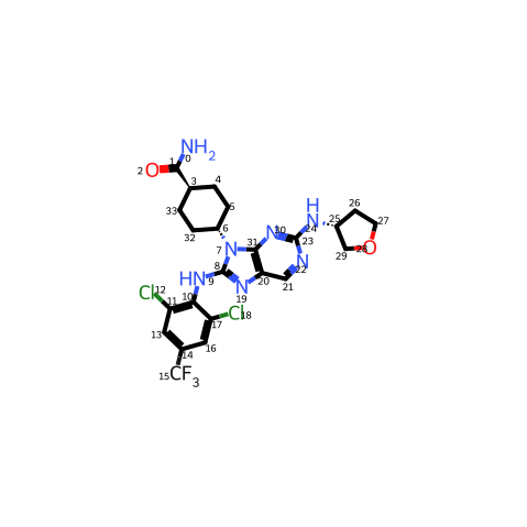 NC(=O)[C@H]1CC[C@H](n2c(Nc3c(Cl)cc(C(F)(F)F)cc3Cl)nc3cnc(N[C@@H]4CCOC4)nc32)CC1